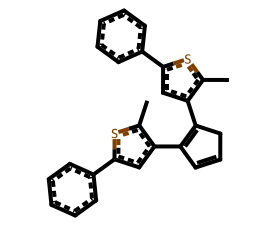 Cc1sc(-c2ccccc2)cc1C1=C(c2cc(-c3ccccc3)sc2C)CC=C1